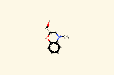 CN1C[C@@H](C=O)Oc2ccccc21